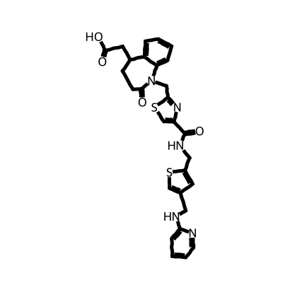 O=C(O)CC1CCC(=O)N(Cc2nc(C(=O)NCc3cc(CNc4ccccn4)cs3)cs2)c2ccccc21